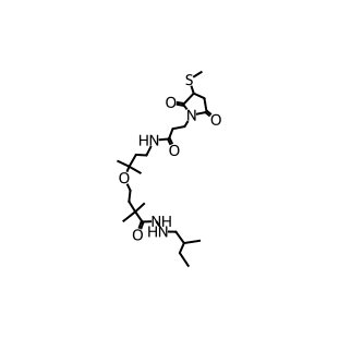 CCC(C)CNNC(=O)C(C)(C)CCOC(C)(C)CCNC(=O)CCN1C(=O)CC(SC)C1=O